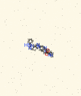 Cc1cnc(Nc2ccccc2)nc1-c1cnn(C(CC#N)CC2CCN(S(=O)(=O)c3ccn(C)n3)CC2)c1